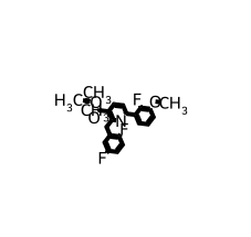 COc1cccc(-c2ccc(C(=O)OC(C)(C)C)c(Cc3cc(F)ccc3F)n2)c1F